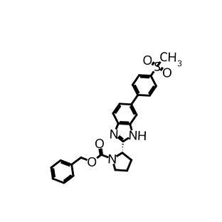 CS(=O)(=O)c1ccc(-c2ccc3nc([C@@H]4CCCN4C(=O)OCc4ccccc4)[nH]c3c2)cc1